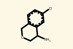 NC1COCc2ccc(Cl)cc21